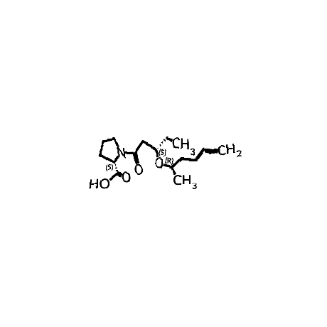 C=CCC[C@@H](C)O[C@@H](CC)CC(=O)N1CCC[C@H]1C(=O)O